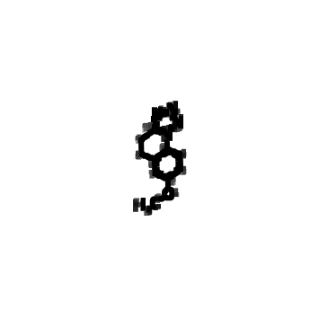 COc1ccc2c(c1)CCc1nnnn1-2